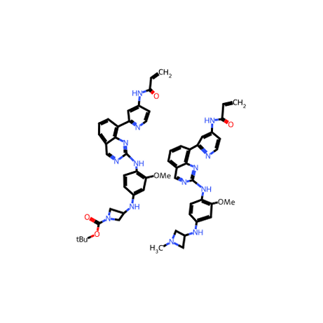 C=CC(=O)Nc1ccnc(-c2cccc3cnc(Nc4ccc(NC5CN(C(=O)OC(C)(C)C)C5)cc4OC)nc23)c1.C=CC(=O)Nc1ccnc(-c2cccc3cnc(Nc4ccc(NC5CN(C)C5)cc4OC)nc23)c1